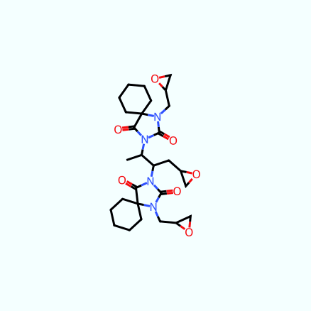 CC(C(CC1CO1)N1C(=O)N(CC2CO2)C2(CCCCC2)C1=O)N1C(=O)N(CC2CO2)C2(CCCCC2)C1=O